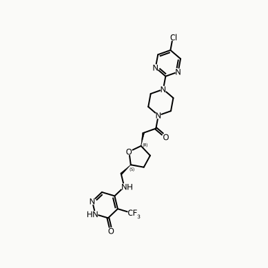 O=C(C[C@H]1CC[C@@H](CNc2cn[nH]c(=O)c2C(F)(F)F)O1)N1CCN(c2ncc(Cl)cn2)CC1